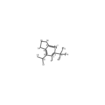 Cc1c(C(F)(F)F)nc2c(c1C(C)C)CCC2